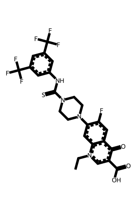 CCn1cc(C(=O)O)c(=O)c2cc(F)c(N3CCN(C(=S)Nc4cc(C(F)(F)F)cc(C(F)(F)F)c4)CC3)cc21